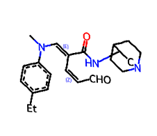 CCc1ccc(N(C)/C=C(\C=C/C=O)C(=O)NC2CN3CCC2CC3)cc1